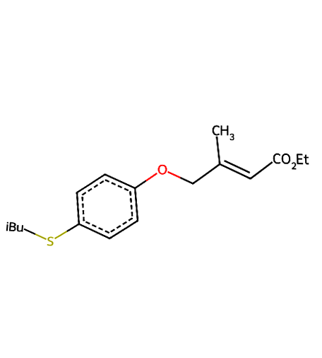 CCOC(=O)/C=C(\C)COc1ccc(SC(C)CC)cc1